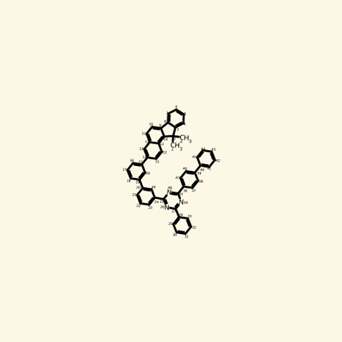 CC1(C)c2ccccc2-c2ccc3cc(-c4cccc(-c5cccc(-c6nc(-c7ccccc7)nc(-c7ccc(-c8ccccc8)cc7)n6)c5)c4)ccc3c21